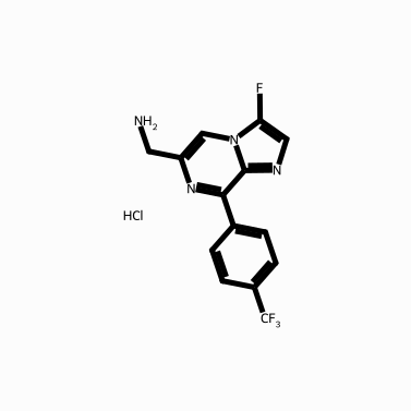 Cl.NCc1cn2c(F)cnc2c(-c2ccc(C(F)(F)F)cc2)n1